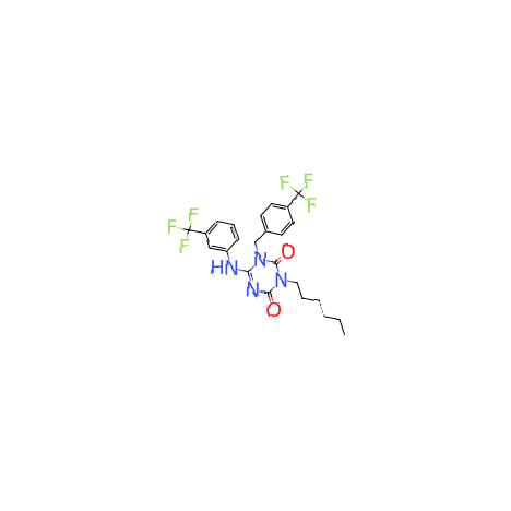 CCCCCCn1c(=O)nc(Nc2cccc(C(F)(F)F)c2)n(Cc2ccc(C(F)(F)F)cc2)c1=O